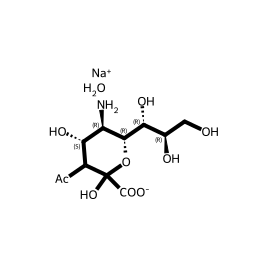 CC(=O)C1[C@H](O)[C@@H](N)[C@H]([C@H](O)[C@H](O)CO)OC1(O)C(=O)[O-].O.[Na+]